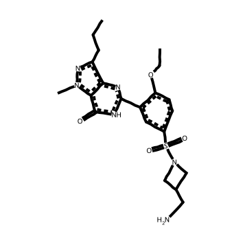 CCCc1nn(C)c2c(=O)[nH]c(-c3cc(S(=O)(=O)N4CC(CN)C4)ccc3OCC)nc12